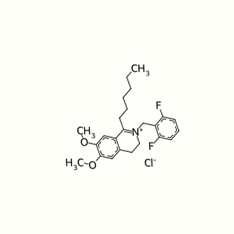 CCCCCCC1=[N+](Cc2c(F)cccc2F)CCc2cc(OC)c(OC)cc21.[Cl-]